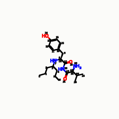 CCCC(CCC)N[C@@H](Cc1ccc(O)cc1)C(=O)NC(=O)[C@@H](N)C(C)C